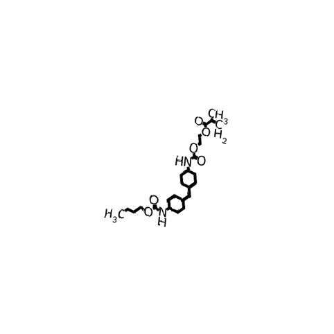 C=C(C)C(=O)OCCOC(=O)NC1CCC(CC2CCC(NC(=O)OCCCC)CC2)CC1